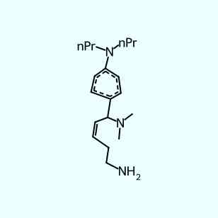 CCCN(CCC)c1ccc(C(/C=C\CCN)N(C)C)cc1